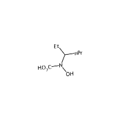 CCCC(CC)N(O)C(=O)O